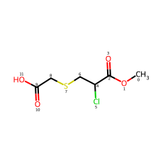 COC(=O)C(Cl)CSCC(=O)O